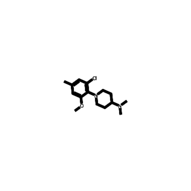 COc1cc(C)cc(Cl)c1N1CCC(N(C)C)CC1